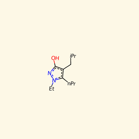 CCCc1c(CC(C)C)c(O)nn1CC